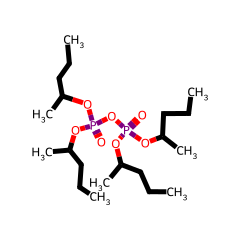 CCCC(C)OP(=O)(OC(C)CCC)OP(=O)(OC(C)CCC)OC(C)CCC